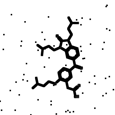 CC(C)CCOc1ccc(C(=O)c2ccc3c(c2)N(CCC(C)C)C(=O)C3CCC(C)C)cc1CC(=O)O